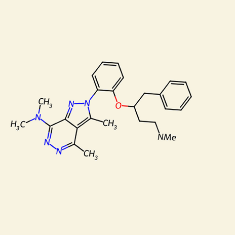 CNCCC(Cc1ccccc1)Oc1ccccc1-n1nc2c(N(C)C)nnc(C)c2c1C